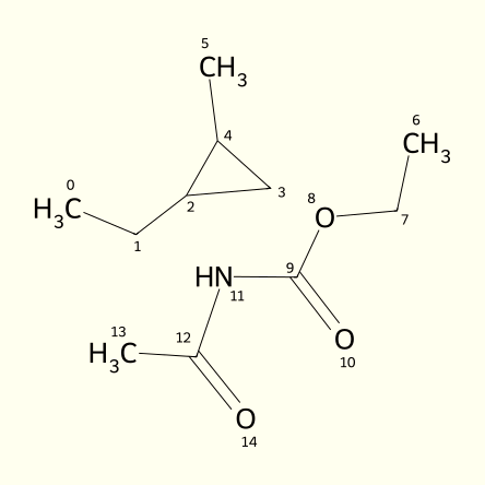 CCC1CC1C.CCOC(=O)NC(C)=O